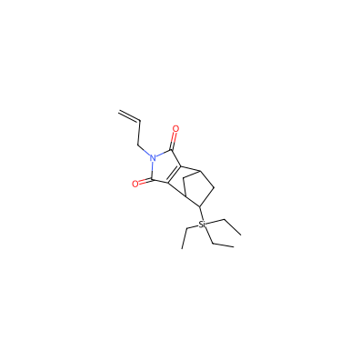 C=CCN1C(=O)C2=C(C1=O)C1CC2CC1[Si](CC)(CC)CC